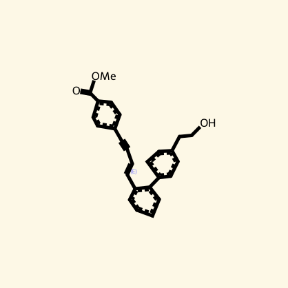 COC(=O)c1ccc(C#C/C=C/c2ccccc2-c2ccc(CCO)cc2)cc1